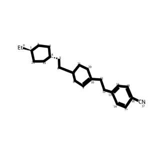 CC[C@H]1CC[C@H](CCC2CC=C(CCc3ccc(C#N)cc3)CC2)CC1